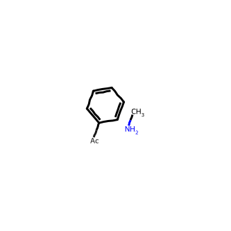 CC(=O)c1ccccc1.CN